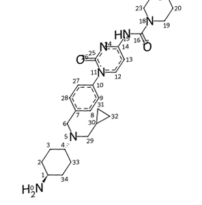 N[C@H]1CC[C@H](N(Cc2ccc(-n3ccc(NC(=O)N4CCNCC4)nc3=O)cc2)CC2CC2)CC1